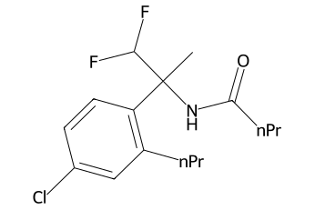 CCCC(=O)NC(C)(c1ccc(Cl)cc1CCC)C(F)F